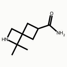 CC1(C)NCC12CC(C(N)=O)C2